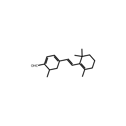 CC1=C(C=CC2=CC=C(C=O)C(C)C2)C(C)(C)CCC1